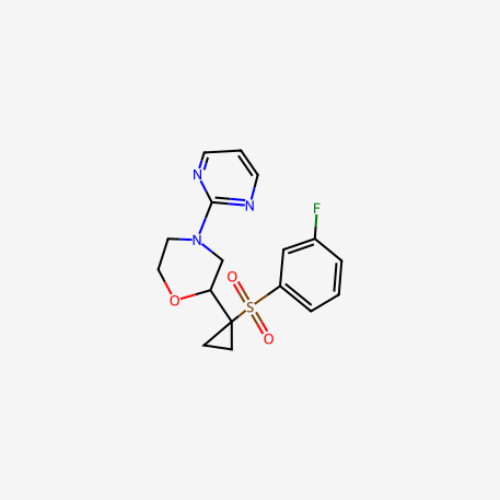 O=S(=O)(c1cccc(F)c1)C1(C2CN(c3ncccn3)CCO2)CC1